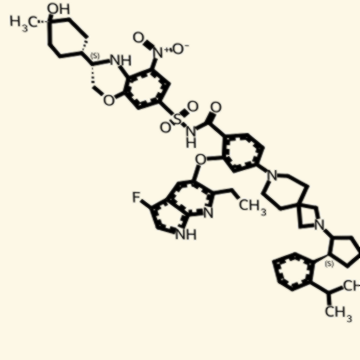 CCc1nc2[nH]cc(F)c2cc1Oc1cc(N2CCC3(CC2)CN(C2CCC[C@H]2c2ccccc2C(C)C)C3)ccc1C(=O)NS(=O)(=O)c1cc2c(c([N+](=O)[O-])c1)N[C@@H]([C@H]1CC[C@](C)(O)CC1)CO2